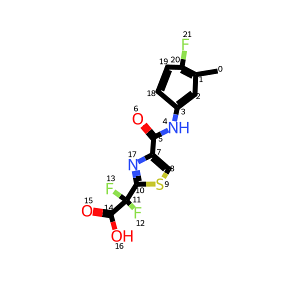 Cc1cc(NC(=O)c2csc(C(F)(F)C(=O)O)n2)ccc1F